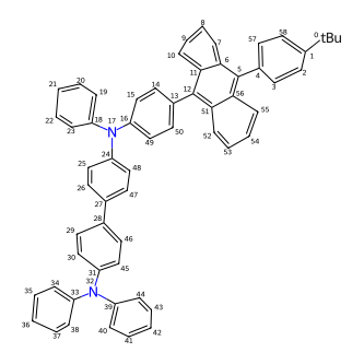 CC(C)(C)c1ccc(-c2c3ccccc3c(-c3ccc(N(c4ccccc4)c4ccc(-c5ccc(N(c6ccccc6)c6ccccc6)cc5)cc4)cc3)c3ccccc23)cc1